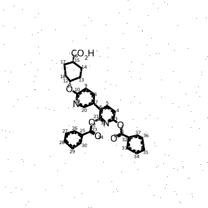 O=C(Oc1ccc(-c2ccc(O[C@H]3CC[C@H](C(=O)O)CC3)nc2)c(OC(=O)c2ccccc2)n1)c1ccccc1